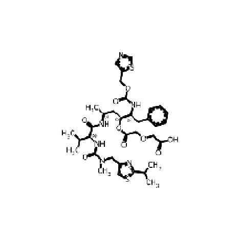 CC(C)c1nc(CN(C)C(=O)N[C@H](C(=O)N[C@@H](C)C[C@H](OC(=O)COCC(=O)O)[C@H](Cc2ccccc2)NC(=O)OCc2cncs2)C(C)C)cs1